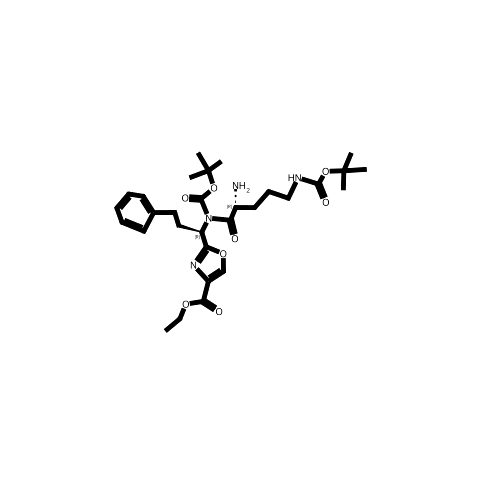 CCOC(=O)c1coc([C@@H](CCc2ccccc2)N(C(=O)OC(C)(C)C)C(=O)[C@H](N)CCCNC(=O)OC(C)(C)C)n1